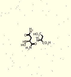 NC(=O)CC(NO)C(N)=O.NC(CC(=O)O)C(=O)O